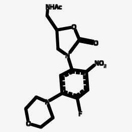 CC(=O)NCC1CN(c2cc(N3CCOCC3)c(F)cc2[N+](=O)[O-])C(=O)O1